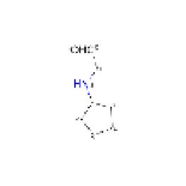 O=[C]CNC1CCCC1